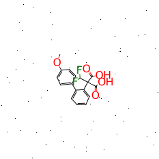 COc1ccc(-c2ccccc2C(C(=O)O)(C(=O)O)C(F)F)cc1